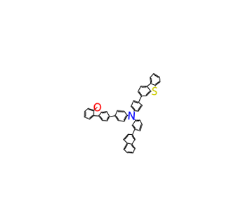 c1cc(-c2ccc3ccccc3c2)cc(N(c2ccc(-c3ccc4c(c3)oc3ccccc34)cc2)c2ccc(-c3ccc4c(c3)sc3ccccc34)cc2)c1